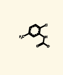 [O]C(=O)Nc1cc(C(F)(F)F)ccc1Cl